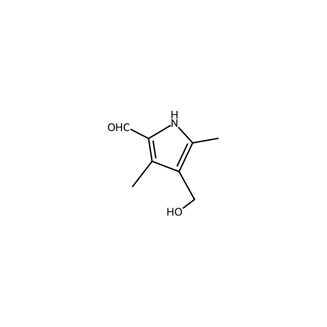 Cc1[nH]c(C=O)c(C)c1CO